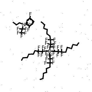 CCCCCCC(F)(F)C(F)(F)C(F)(F)[B-](C(F)(F)C(F)(F)C(F)(F)CCCCCC)(C(F)(F)C(F)(F)C(F)(F)CCCCCC)C(F)(F)C(F)(F)C(F)(F)CCCCCC.CCC[NH+](c1cc(F)ccc1F)C(F)(F)C(F)(F)F